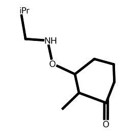 CC(C)CNOC1CCCC(=O)C1C